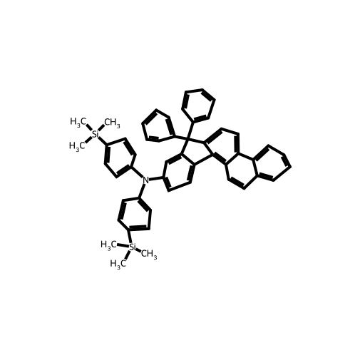 C[Si](C)(C)c1ccc(N(c2ccc([Si](C)(C)C)cc2)c2ccc3c(c2)C(c2ccccc2)(c2ccccc2)c2ccc4c(ccc5ccccc54)c2-3)cc1